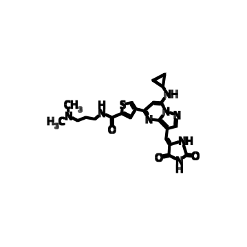 CN(C)CCCNC(=O)c1cc(-c2cc(NC3CC3)n3ncc(/C=C4\NC(=O)NC4=O)c3n2)cs1